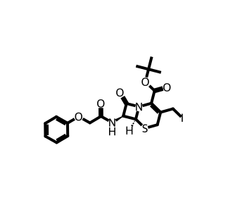 CC(C)(C)OC(=O)C1=C(CI)CS[C@H]2[C@@H](NC(=O)COc3ccccc3)C(=O)N12